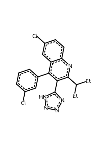 CCC(CC)c1nc2ccc(Cl)cc2c(-c2cccc(Cl)c2)c1-c1nnn[nH]1